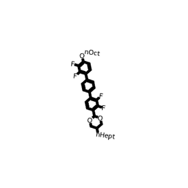 CCCCCCCCOc1ccc(-c2ccc(-c3ccc(C4OCC(CCCCCCC)CO4)c(F)c3F)cc2)c(F)c1F